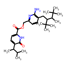 CC(C)C(C)c1ccc(C(=O)OCc2ccc(CC(C(C)C(C)(C)C)C(C)(C)C)c(N)n2)[nH]c1=O